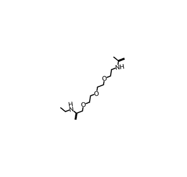 C=C(C)NCCOCCOCCOCC(=C)NCC